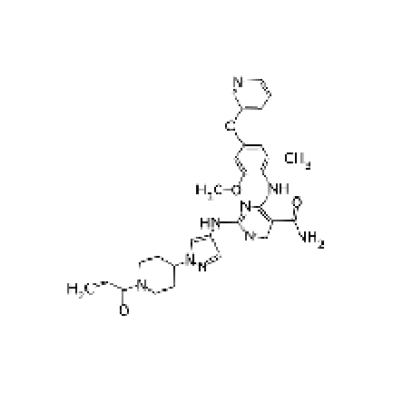 C=CC(=O)N1CCC(n2cc(Nc3ncc(C(N)=O)c(Nc4c(C)cc(Oc5cccnc5)cc4OC)n3)cn2)CC1